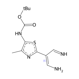 Cc1nc(/C(C=N)=C/N)sc1NC(=O)OC(C)(C)C